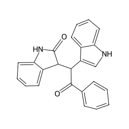 O=C1Nc2ccccc2C1C(C(=O)c1ccccc1)c1c[nH]c2ccccc12